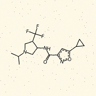 CC(C)N1CC(NC(=O)c2cc(C3CC3)on2)C(C(F)(F)F)C1